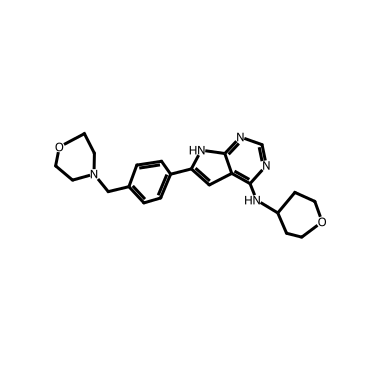 c1nc(NC2CCOCC2)c2cc(-c3ccc(CN4CCOCC4)cc3)[nH]c2n1